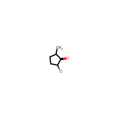 CC1CCC(Cl)C1=O